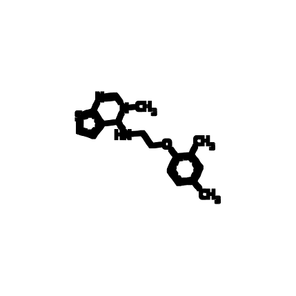 Cc1ccc(OCCNC2c3ccsc3N=CN2C)c(C)c1